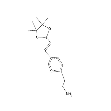 CC1(C)OB(/C=C/c2ccc(CCN)cc2)OC1(C)C